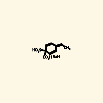 CC=C1C=CC(C(=O)O)(S(=O)(=O)O)C=C1.[NaH]